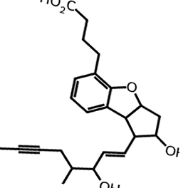 CC#CCC(C)C(O)C=CC1C(O)CC2Oc3c(CCCC(=O)O)cccc3C21